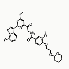 CCc1cc(C(=O)CNC(=O)c2ccc(OCCOC3CCCCO3)c(OC)c2)nc(-c2csc3c(F)cccc23)c1